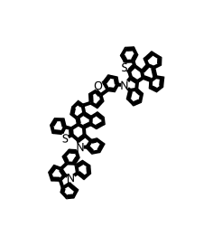 c1ccc(-n2c3ccccc3c3cccc(-c4ccc(-n5c6ccccc6c6c7c8ccccc8c8c(-c9ccc%10c(c9)oc9ccc(-n%11c%12ccccc%12c%12c%13c%14ccccc%14c%14ccccc%14c%13c%13c%14ccccc%14sc%13c%12%11)cc9%10)cccc8c7c7c8ccccc8sc7c65)cc4)c32)cc1